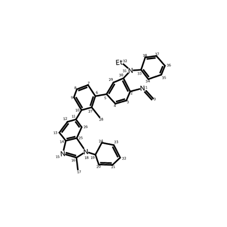 C=Nc1ccc(-c2cccc(-c3ccc4nc(C)n(C5C=CC=CC5)c4c3)c2C)cc1N(CC)c1ccccc1